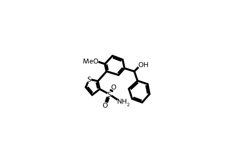 COc1ccc(C(O)c2ccccc2)cc1-c1sccc1S(N)(=O)=O